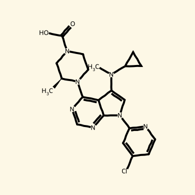 C[C@H]1CN(C(=O)O)CCN1c1ncnc2c1c(N(C)C1CC1)cn2-c1cc(Cl)ccn1